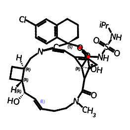 CC(C)NS(=O)(=O)NC(=O)[C@]1(O)C2=CC=C3OC[C@]4(CCCc5cc(Cl)ccc54)CN(C=C2)C[C@@H]2CC[C@H]2[C@@H](O)/C=C/CCN(C)C(=O)C31